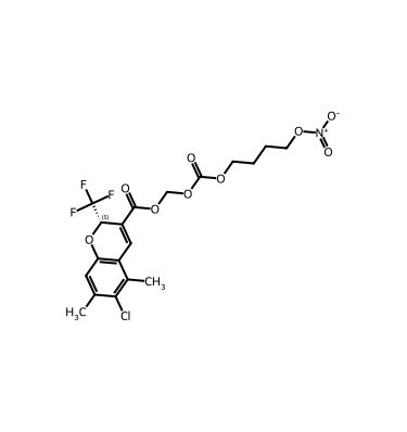 Cc1cc2c(c(C)c1Cl)C=C(C(=O)OCOC(=O)OCCCCO[N+](=O)[O-])[C@@H](C(F)(F)F)O2